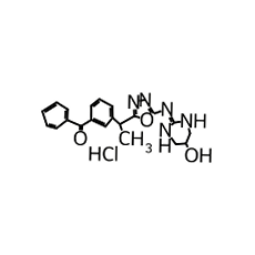 CC(c1cccc(C(=O)c2ccccc2)c1)c1nnc(N=C2NCC(O)CN2)o1.Cl